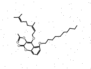 CCCCCCCCCCOc1cccc2oc(=O)c(OC(C)=O)c(OCC=C(C)CCC=C(C)C)c12